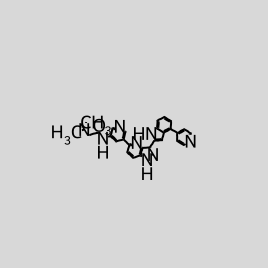 CN(C)CC(=O)Nc1cncc(-c2ccc3[nH]nc(-c4cc5c(-c6ccncc6)cccc5[nH]4)c3n2)c1